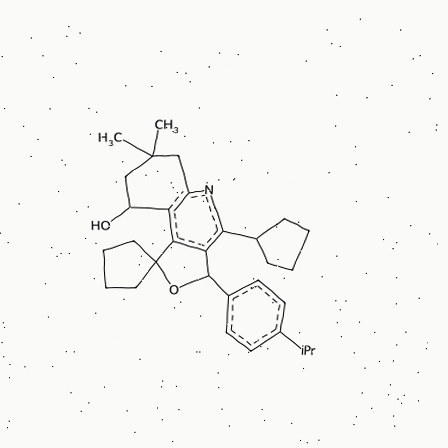 CC(C)c1ccc(C2OC3(CCCC3)c3c4c(nc(C5CCCC5)c32)CC(C)(C)CC4O)cc1